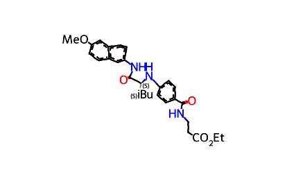 CCOC(=O)CCNC(=O)c1ccc(N[C@H](C(=O)Nc2ccc3cc(OC)ccc3c2)[C@@H](C)CC)cc1